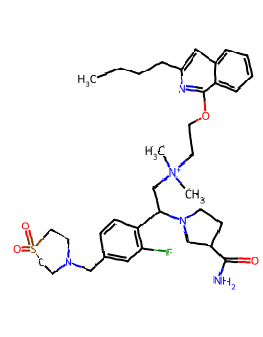 CCCCc1cc2ccccc2c(OCC[N+](C)(C)CC(c2ccc(CN3CCS(=O)(=O)CC3)cc2F)N2CCC(C(N)=O)C2)n1